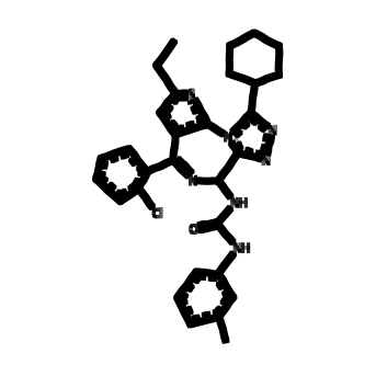 CCc1cc2c(s1)-n1c(C3CCCCC3)nnc1C(NC(=O)Nc1cccc(C)c1)N=C2c1ccccc1Cl